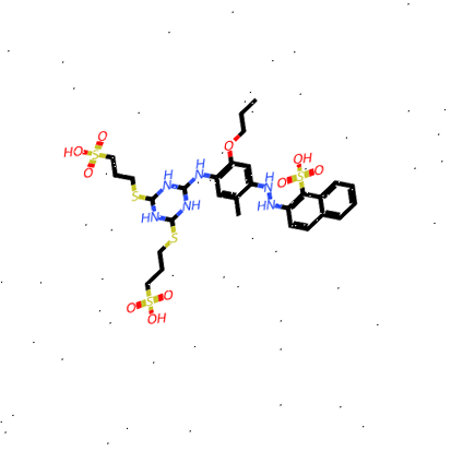 CCCOc1cc(NNc2ccc3ccccc3c2S(=O)(=O)O)c(C)cc1NC1NC(SCCCS(=O)(=O)O)NC(SCCCS(=O)(=O)O)N1